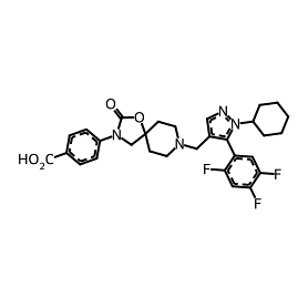 O=C(O)c1ccc(N2CC3(CCN(Cc4cnn(C5CCCCC5)c4-c4cc(F)c(F)cc4F)CC3)OC2=O)cc1